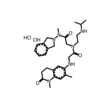 Cc1cc2c(cc1NCC(=O)N(CCNC(C)C)CC(=O)N(C)N1Cc3ccccc3C1)CCC(=O)N2C.Cl.Cl